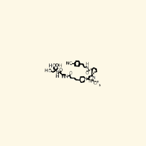 N#Cc1ccc(CCNC(=O)[C@@H]2CCCN2c2cc(N3CCC(CCCC(=O)NCCC(=O)NC(CO)(CO)CO)CC3)nc(C(F)(F)F)n2)cc1